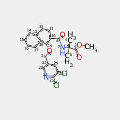 COC(=O)C(C)(C)NC(=O)c1ccc2ccccc2c1OCc1cnc(Cl)c(Cl)c1